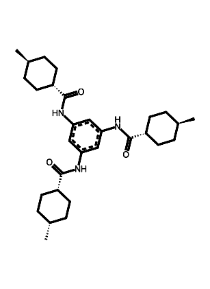 C[C@H]1CC[C@H](C(=O)Nc2cc(NC(=O)[C@H]3CC[C@H](C)CC3)cc(NC(=O)[C@H]3CC[C@@H](C)CC3)c2)CC1